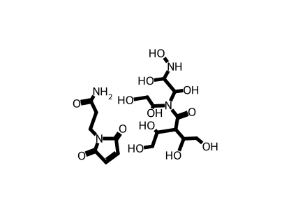 NC(=O)CCN1C(=O)C=CC1=O.O=C(C(C(O)CO)C(O)CO)N(C(O)CO)C(O)C(O)NO